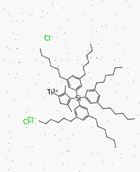 CCCCCCc1cc(CCCCCC)cc([Si](C2=C(C)C[C]([Ti+3])=C2C)(c2cc(CCCCCC)cc(CCCCCC)c2)c2cc(CCCCCC)cc(CCCCCC)c2)c1.[Cl-].[Cl-].[Cl-]